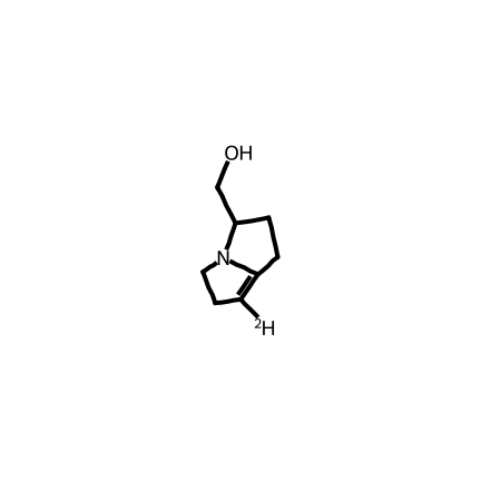 [2H]C1=C2CCC(CO)N2CC1